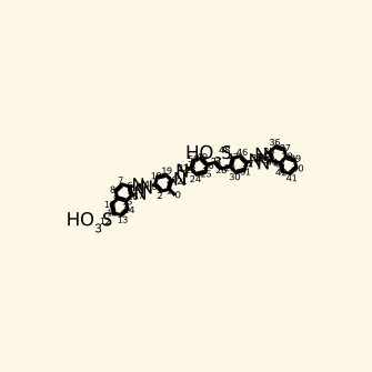 Cc1cc(-n2n3c4ccc5cc(S(=O)(=O)O)ccc5c4n23)ccc1N=Nc1ccc(C=Cc2ccc(-n3n4c5ccc6ccccc6c5n34)cc2S(=O)(=O)O)cc1